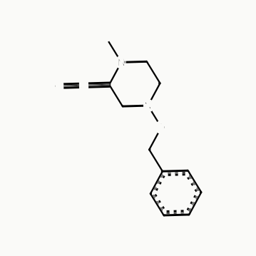 CN1CCN(OCc2ccccc2)CC1=C=O